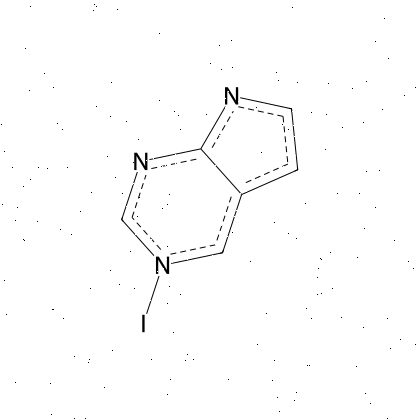 In1cnc2nccc-2c1